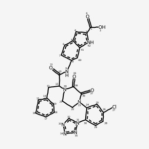 O=C(O)c1cc2ccc(NC(=O)C(Cc3ccccc3)N3CCN(c4cc(Cl)ccc4-n4cnnn4)C(=O)C3=O)cc2[nH]1